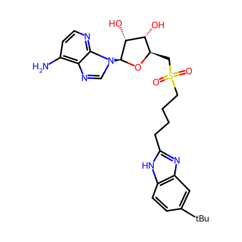 CC(C)(C)c1ccc2[nH]c(CCCCS(=O)(=O)C[C@H]3O[C@@H](n4cnc5c(N)ccnc54)[C@H](O)[C@@H]3O)nc2c1